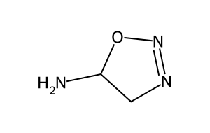 NC1CN=NO1